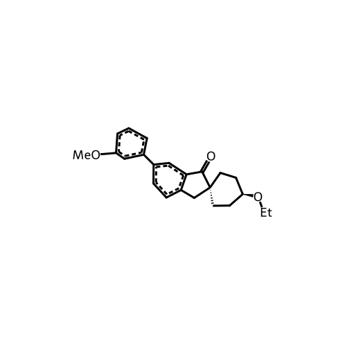 CCO[C@H]1CC[C@]2(CC1)Cc1ccc(-c3cccc(OC)c3)cc1C2=O